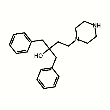 OC(CCN1CCNCC1)(Cc1ccccc1)Cc1ccccc1